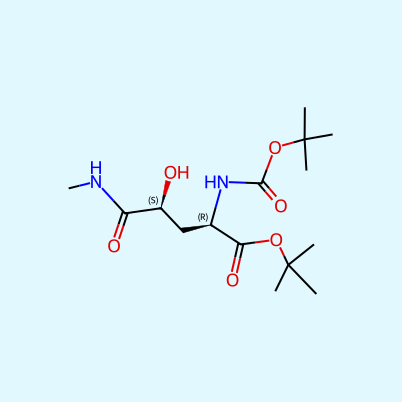 CNC(=O)[C@@H](O)C[C@@H](NC(=O)OC(C)(C)C)C(=O)OC(C)(C)C